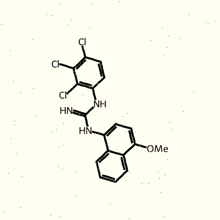 COc1ccc(NC(=N)Nc2ccc(Cl)c(Cl)c2Cl)c2ccccc12